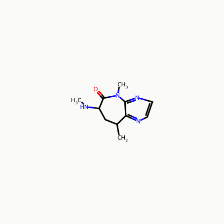 CNC1CC(C)c2nccnc2N(C)C1=O